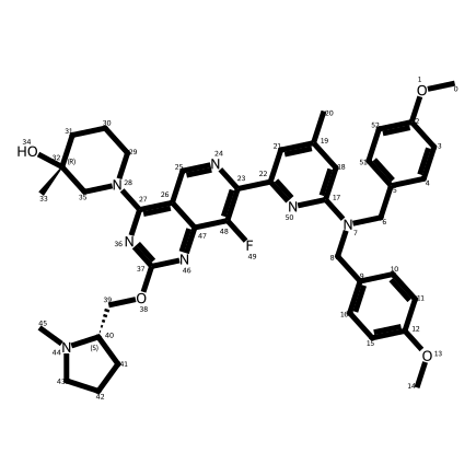 COc1ccc(CN(Cc2ccc(OC)cc2)c2cc(C)cc(-c3ncc4c(N5CCC[C@@](C)(O)C5)nc(OC[C@@H]5CCCN5C)nc4c3F)n2)cc1